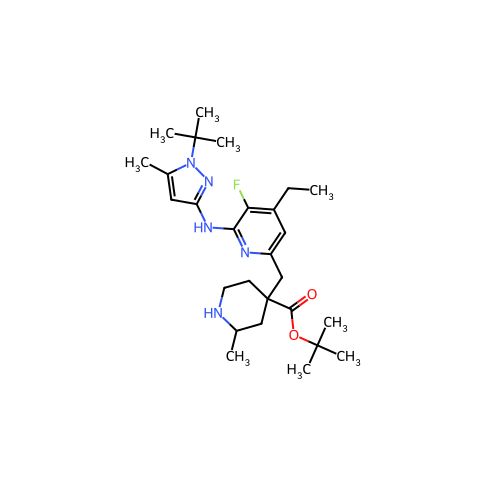 CCc1cc(CC2(C(=O)OC(C)(C)C)CCNC(C)C2)nc(Nc2cc(C)n(C(C)(C)C)n2)c1F